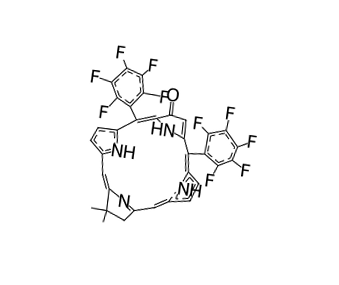 CC1(C)CC2=NC1=Cc1ccc([nH]1)C(c1c(F)c(F)c(F)c(F)c1F)=C1NC(=CC1=O)C(c1c(F)c(F)c(F)c(F)c1F)=c1ccc([nH]1)=C2